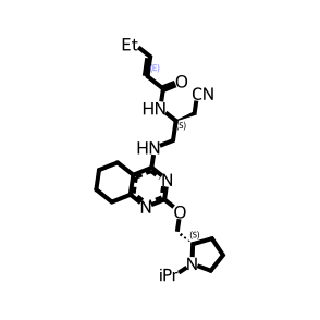 CC/C=C/C(=O)N[C@@H](CC#N)CNc1nc(OC[C@@H]2CCCN2C(C)C)nc2c1CCCC2